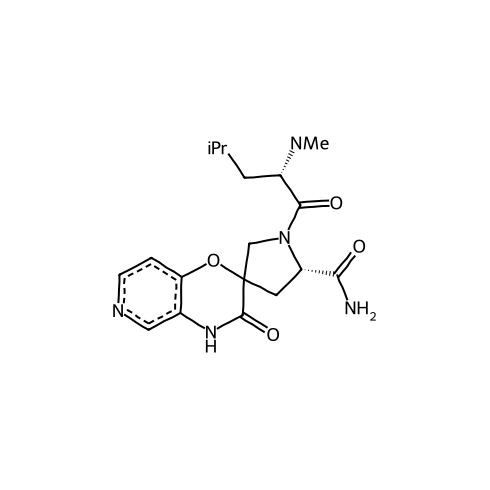 CN[C@@H](CC(C)C)C(=O)N1CC2(C[C@H]1C(N)=O)Oc1ccncc1NC2=O